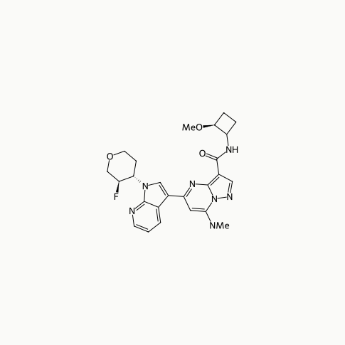 CNc1cc(-c2cn([C@H]3CCOC[C@@H]3F)c3ncccc23)nc2c(C(=O)NC3CC[C@@H]3OC)cnn12